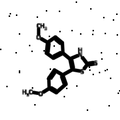 COc1ccc(-c2[nH]c(=S)sc2-c2ccc(OC)cc2)cc1